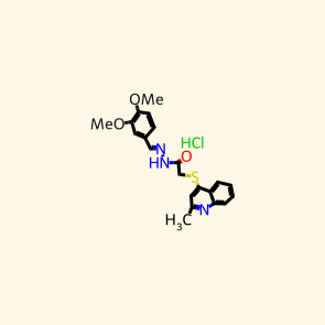 COc1ccc(/C=N/NC(=O)CSc2cc(C)nc3ccccc23)cc1OC.Cl